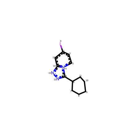 Ic1ccn2c(C3CCCCC3)nnc2c1